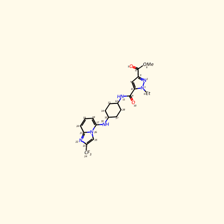 CCn1nc(C(=O)OC)cc1C(=O)NC1CCC(Nc2cccc3nc(C(F)(F)F)cn23)CC1